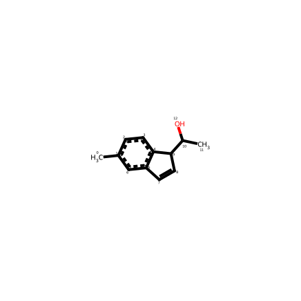 Cc1ccc2c(c1)C=CC2C(C)O